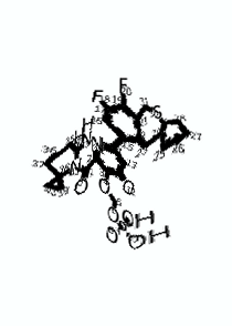 O=C1c2c(OCOP(=O)(O)O)c(=O)cc(-c3cc(F)c(F)c4c3Cc3ccccc3SC4)n2N[C@@H]2CCCC3(CC3)N12